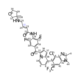 Cc1nc2c(Cl)c(-c3cccn4c(C(=O)c5cc(F)c(NC(=O)/C=C/CNC6(C)CCOC6)c(F)c5)ccc34)c(C(F)(F)F)cc2n1C